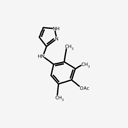 CC(=O)Oc1c(C)cc(Nc2cc[nH]n2)c(C)c1C